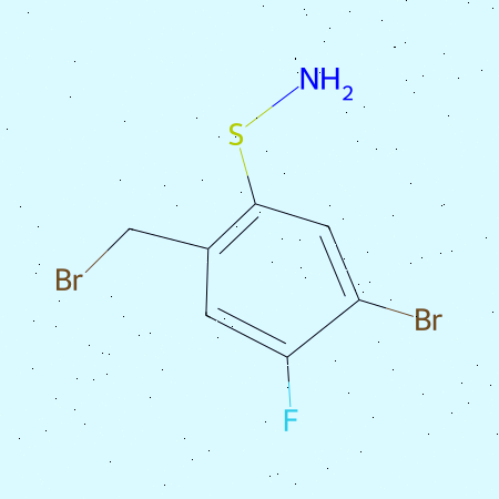 NSc1cc(Br)c(F)cc1CBr